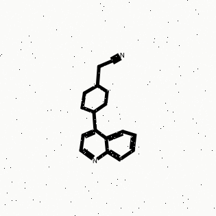 N#CCC1CCC(c2ccnc3ccccc23)CC1